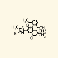 CCc1cccc(CC)c1-n1c2c(cc(-c3nc(Br)c(C)s3)c1=O)C(=O)CC(C)(C)C2